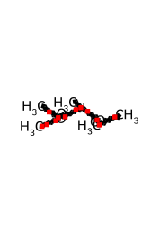 CCCCCCCCC(CC)OC(=O)CCCCCCCN(CCCC)CCCCCCCC(=O)OC(CCCCCCCC)CCCCCCCC